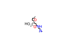 C[C@@H]1CC[C@H](C(CC(=O)NCCN(C)C)C(=O)O)O1